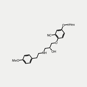 CCCCCCOc1ccc(OC[C@@H](O)CNCCc2ccc(OC)cc2)c(C#N)c1